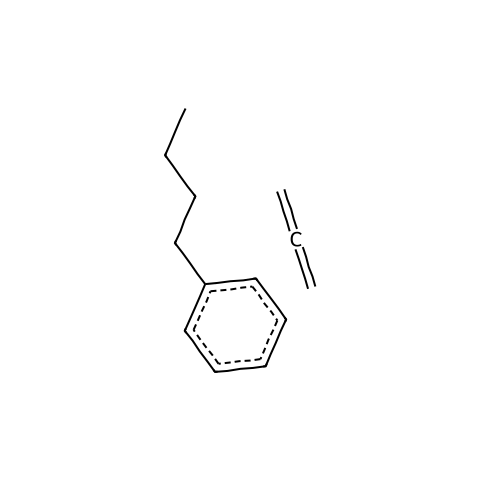 C=C=C.CCCCc1ccccc1